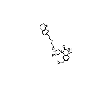 COc1ccc(CC2CC2)cc1C(C(=O)O)N1C[C@@H](F)[C@@H](OCCCCCc2ccc3c(n2)NCCC3)C1